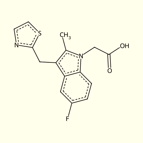 Cc1c(Cc2nccs2)c2cc(F)ccc2n1CC(=O)O